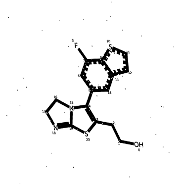 OCCC1=C(c2cc(F)c3sccc3c2)N2CCN=C2S1